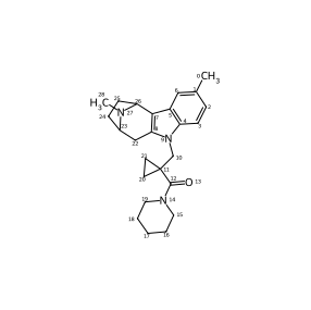 Cc1ccc2c(c1)c1c(n2CC2(C(=O)N3CCCCC3)CC2)CC2CCC1N2C